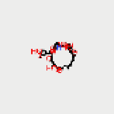 CO[C@@H]1C[C@@H]2CC[C@@H](C)[C@@](O)(O2)C(=O)C(=O)N2CCCC[C@H]2C(=O)O[C@H]([C@H](C)C[C@@H]2CC[C@@H](O)[C@H](OC)C2)CC(=O)[C@H](C)/C=C(\C)[C@@H](O)[C@@H](OC)C(=O)[C@@H](C)C[C@H](C)/C=C/C=C/C=C/1C